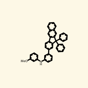 COc1cccc(Nc2cccc(-c3ccc4c(c3)C(c3ccccc3)(c3ccccc3)c3cc5ccccc5cc3-4)c2)c1